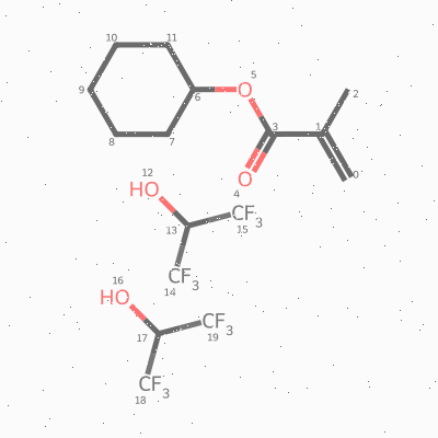 C=C(C)C(=O)OC1CCCCC1.OC(C(F)(F)F)C(F)(F)F.OC(C(F)(F)F)C(F)(F)F